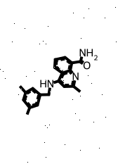 Cc1cc(C)cc(CNc2cc(C)nc3c(C(N)=O)cccc23)c1